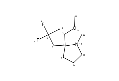 COCC1(CC(F)(F)F)CCCN1C